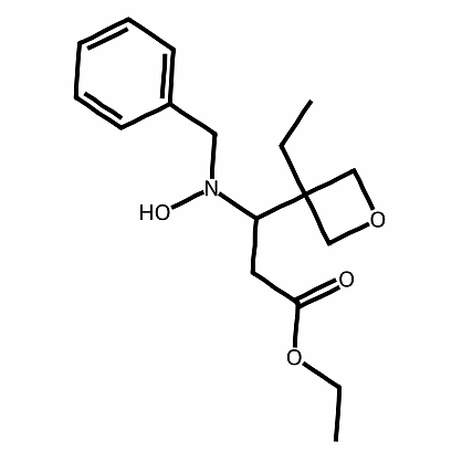 CCOC(=O)CC(N(O)Cc1ccccc1)C1(CC)COC1